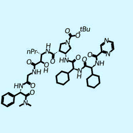 CCC[C@H](NC(=O)[C@@H]1CN(C(=O)OC(C)(C)C)C[C@@H]1NC(=O)[C@@H](NC(=O)[C@@H](NC(=O)c1cnccn1)C1CCCCC1)C1CCCCC1)C(O)C(=O)NCC(=O)N[C@H](C(=O)N(C)C)c1ccccc1